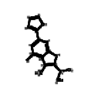 CCCC[S+]([O-])c1sc2nc(-c3ncco3)cc(C)c2c1N